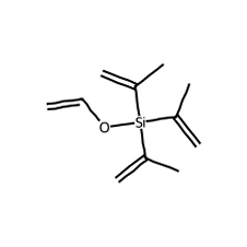 C=CO[Si](C(=C)C)(C(=C)C)C(=C)C